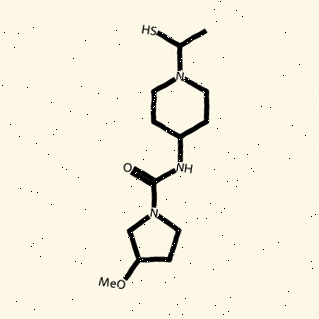 COC1CCN(C(=O)NC2CCN(C(C)S)CC2)C1